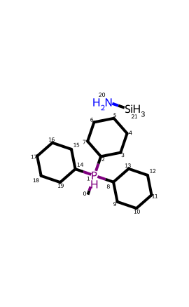 C[PH](C1CCCCC1)(C1CCCCC1)C1CCCCC1.N[SiH3]